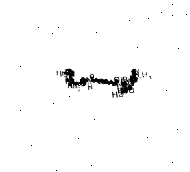 Cc1ncsc1-c1ccc(CNC(=O)[C@@H]2C[C@@H](O)CN2C(=O)[C@@H](NC(=O)CCCCCCCCCC(=O)NCc2ccc(CCOc3cc(-c4ccccc4O)nnc3N)cc2)C(C)(C)C)cc1